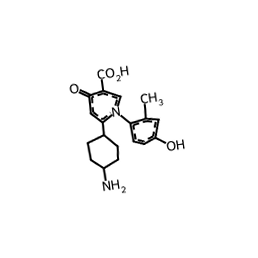 Cc1cc(O)ccc1-n1cc(C(=O)O)c(=O)cc1C1CCC(N)CC1